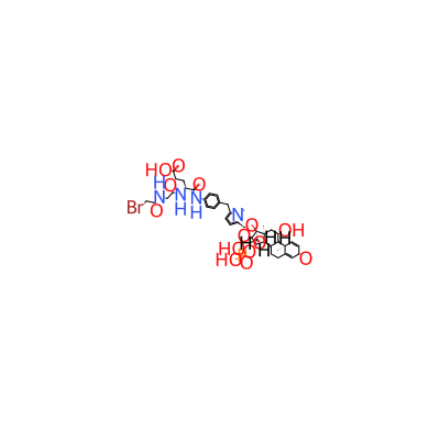 Cn1c(Cc2ccc(NC(=O)[C@H](CCC(=O)O)NC(=O)CNC(=O)CBr)cc2)ccc1[C@@H]1O[C@@H]2C[C@H]3[C@@H]4CCC5=CC(=O)C=C[C@]5(C)[C@H]4[C@@H](O)C[C@]3(C)[C@]2(C(=O)COP(=O)(O)O)O1